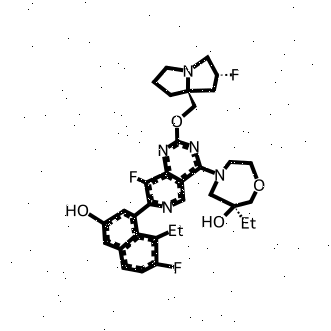 CCc1c(F)ccc2cc(O)cc(-c3ncc4c(N5CCOC[C@](O)(CC)C5)nc(OC[C@@]56CCCN5C[C@H](F)C6)nc4c3F)c12